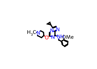 COc1ccccc1CNc1nc(OC2CCN(C)CC2)cn2c(C3CC3)cnc12